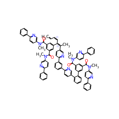 C=C/C=C\C(=C(/C)c1ccc(-c2cccc(-c3ccc(-c4ccccc4-c4cc(C(=O)N(C)c5ccc(-c6ccccc6)nc5)cc(C(=O)N(C)c5ccc(-c6ccccc6)nc5)c4)cn3)c2)nc1)c1cc(C(=O)N(C)c2ccc(-c3ccccc3)nc2)cc(C(=O)N(C)c2ccc(-c3ccccc3)nc2)c1